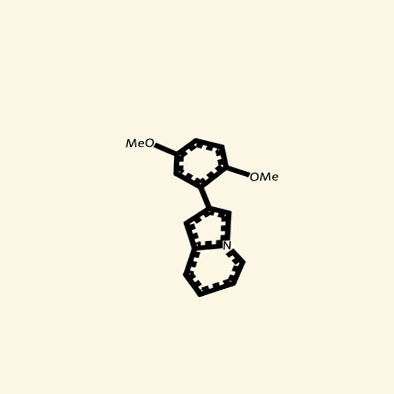 COc1ccc(OC)c(-c2cc3ccccn3c2)c1